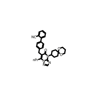 CCCc1c(Cc2ccc(-c3ccccc3C#N)cc2)c(=O)n(C2CCC3(CC2)OCCCO3)c2ncnn12